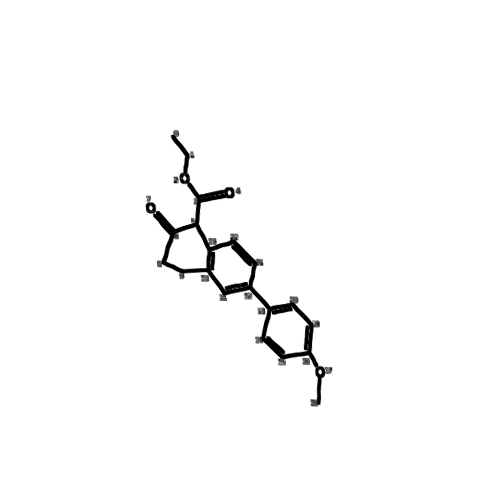 CCOC(=O)C1C(=O)CCc2cc(-c3ccc(OC)cc3)ccc21